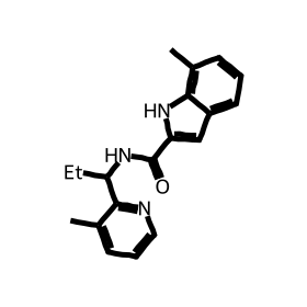 CCC(NC(=O)c1cc2cccc(C)c2[nH]1)c1ncccc1C